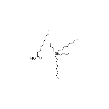 CCCCCCCCCC(=O)O.CCCCCCC[CH2][Sn]([CH2]CCC)([CH2]CCC)[CH2]CCCCCCC